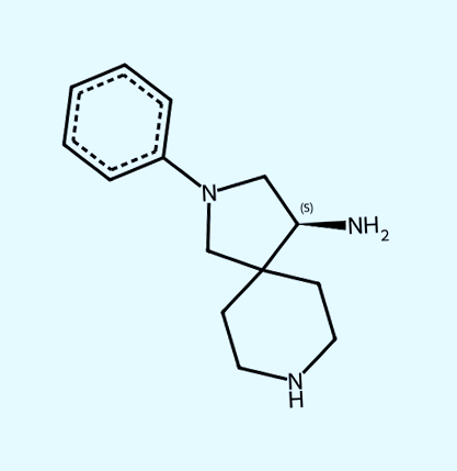 N[C@@H]1CN(c2ccccc2)CC12CCNCC2